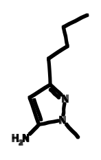 CCCCc1cc(N)n(C)n1